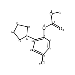 COC(=O)Oc1ccc(Cl)cc1C1CCCC1